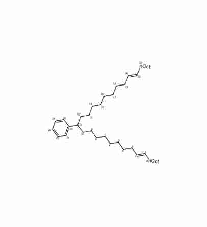 CCCCCCCCC=CCCCCCCCCC(CCCCCCCCC=CCCCCCCCC)c1ccccc1